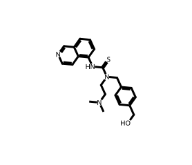 CN(C)CCN(Cc1ccc(CO)cc1)C(=S)Nc1cccc2cnccc12